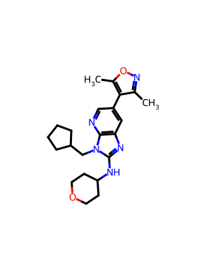 Cc1noc(C)c1-c1cnc2c(c1)nc(NC1CCOCC1)n2CC1CCCC1